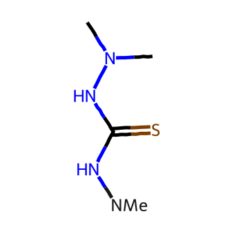 CNNC(=S)NN(C)C